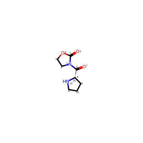 O=C1OCCN1C(=O)[C@@H]1CCCN1